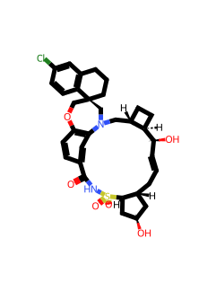 O=C1NS(=O)(=O)[C@@H]2C[C@H](O)C[C@H]2C/C=C/[C@H](O)[C@@H]2CC[C@H]2CN2C[C@@]3(CCCc4cc(Cl)ccc43)COc3ccc1cc32